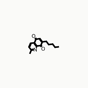 CCCCCC1=CC(=O)c2ccc(C)nc2C1=O